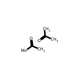 CC(C)=O.C[C](=O)[Mn]